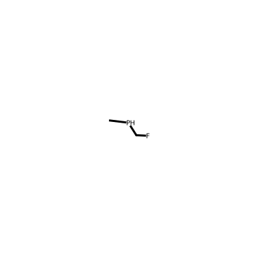 CPCF